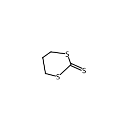 S=C1SCCCS1